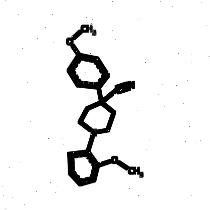 COc1ccc(C2(C#N)CCN(c3ccccc3OC)CC2)cc1